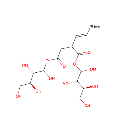 CCCCCCC=CC(CC(=O)OC(O)[C@@H](O)[C@@H](O)CO)C(=O)OC(O)[C@@H](O)[C@@H](O)CO